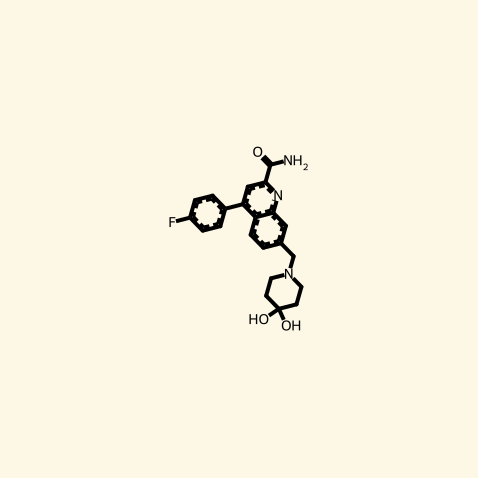 NC(=O)c1cc(-c2ccc(F)cc2)c2ccc(CN3CCC(O)(O)CC3)cc2n1